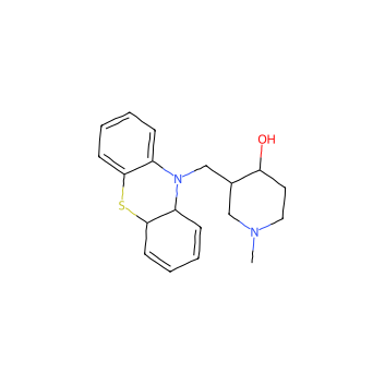 CN1CCC(O)C(CN2c3ccccc3SC3C=CC=CC32)C1